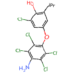 CC(C)c1cc(Oc2c(Cl)c(Cl)c(N)c(Cl)c2Cl)cc(Cl)c1O